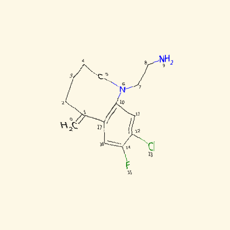 C=C1CCCCN(CCN)c2cc(Cl)c(F)cc21